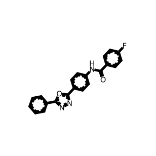 O=C(Nc1ccc(-c2nnc(-c3ccccc3)o2)cc1)c1ccc(F)cc1